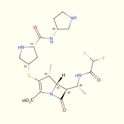 C[C@@H](NC(=O)C(F)F)[C@H]1C(=O)N2C(C(=O)O)=C(S[C@@H]3CN[C@H](C(=O)N[C@@H]4CCNC4)C3)[C@H](C)[C@H]12